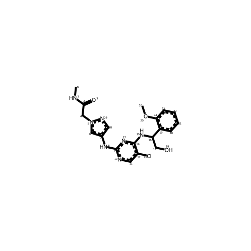 CNC(=O)Cn1cc(Nc2ncc(Cl)c(NC(CO)c3ccccc3OC)n2)cn1